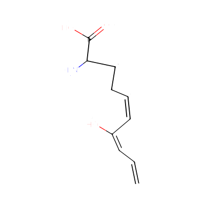 C=C/C=C(O)\C=C/CCC(N)C(=O)O